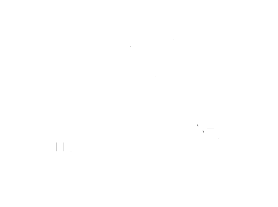 CC(CO)C(N)C1CC1C